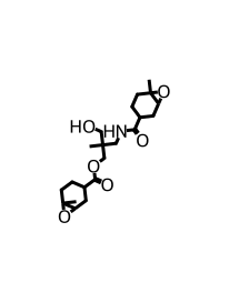 CC(CO)(CNC(=O)C1CCC2(C)OC2C1)COC(=O)C1CCC2(C)OC2C1